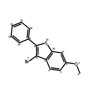 COc1ccc2c(Br)c(-c3ccccc3)sc2c1